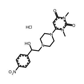 Cl.Cn1c(N2CCN(CC(O)c3ccc([N+](=O)[O-])cc3)CC2)cc(=O)n(C)c1=O